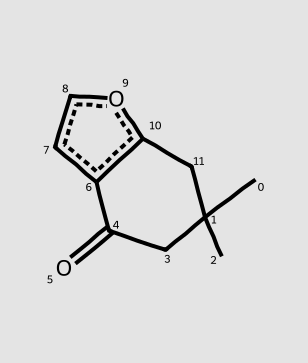 CC1(C)CC(=O)c2ccoc2C1